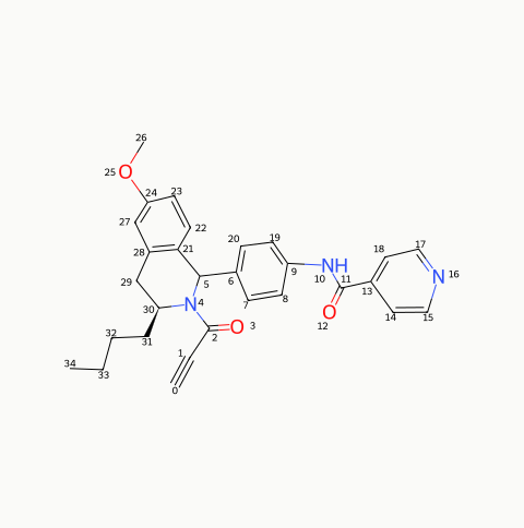 C#CC(=O)N1C(c2ccc(NC(=O)c3ccncc3)cc2)c2ccc(OC)cc2C[C@@H]1CCCC